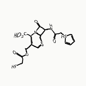 O=C(C[SH]1C=CC=C1)NC1C(=O)N2C(C(=O)O)=C(COC(=O)CS)CSC12